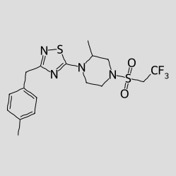 Cc1ccc(Cc2nsc(N3CCN(S(=O)(=O)CC(F)(F)F)CC3C)n2)cc1